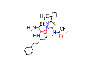 CC[C@H](N)C(=O)N[C@H](/C=C/CN(C(=O)C(F)(F)F)c1nnc(C2(C)CCC2)s1)CCc1ccccc1